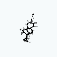 FC1(F)Cc2c(ccc3c2CCNCC3)C1C1CC1